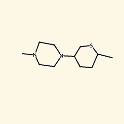 CC1CCC(N2CCN(C)CC2)CS1